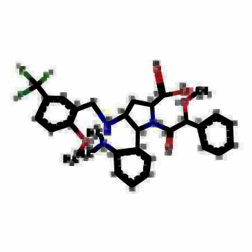 COc1ccc(C(F)(F)F)cc1CNC1CC(C(=O)O)N(C(=O)C(OC)c2ccccc2)C1c1ccccc1N(C)C